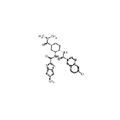 CN(C)C(=O)[C@H]1CC[C@H](NC(=O)c2cc3ccc(Cl)cc3nn2)[C@@H](NC(=O)c2nc3cn(C)cc3s2)C1